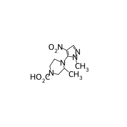 CC1CN(C(=O)O)CCN1c1c([N+](=O)[O-])cnn1C